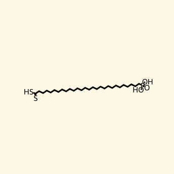 O=P(O)(O)CCCCCCCCCCCCCCCCCCCCCCCCCCCC(=S)S